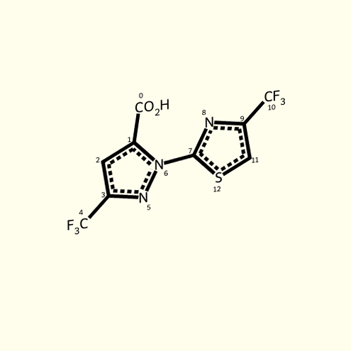 O=C(O)c1cc(C(F)(F)F)nn1-c1nc(C(F)(F)F)cs1